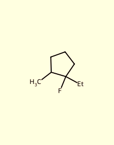 CCC1(F)CCCC1C